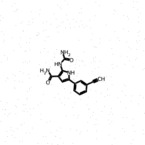 C#Cc1cccc(-c2cc(C(N)=O)c(NC(N)=O)[nH]2)c1